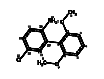 COc1cccc(OC)c1-c1nc(Cl)ccc1N